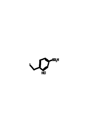 Cl.O=S(=O)(O)c1ccc(CI)cc1